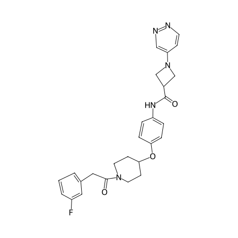 O=C(Nc1ccc(OC2CCN(C(=O)Cc3cccc(F)c3)CC2)cc1)C1CN(c2ccnnc2)C1